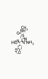 CCNC(=O)c1cc2c(C(=NO)c3ccc4c(c3)OCCO4)nc(N)nc2s1